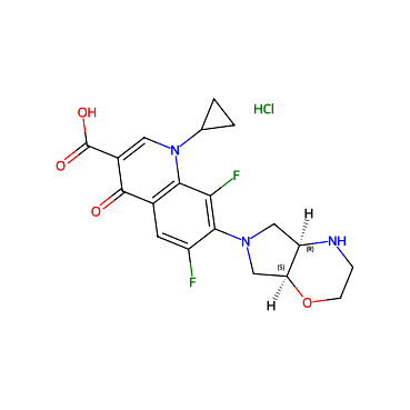 Cl.O=C(O)c1cn(C2CC2)c2c(F)c(N3C[C@@H]4OCCN[C@@H]4C3)c(F)cc2c1=O